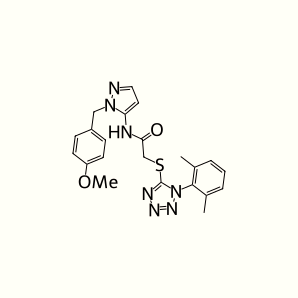 COc1ccc(Cn2nccc2NC(=O)CSc2nnnn2-c2c(C)cccc2C)cc1